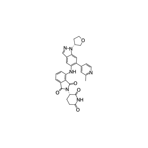 Cc1cc(-c2cc3c(cnn3[C@@H]3CCOC3)cc2Nc2cccc3c2C(=O)N([C@H]2CCC(=O)NC2=O)C3=O)ccn1